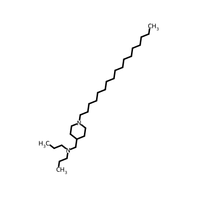 CCCCCCCCCCCCCCCCCN1CCC(CN(CCC)CCC)CC1